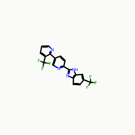 FC(F)(F)c1ccc2nc(-c3ccc(-c4ncccc4C(F)(F)F)cn3)[nH]c2c1